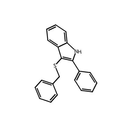 c1ccc(CSc2c(-c3ccccc3)[nH]c3ccccc23)cc1